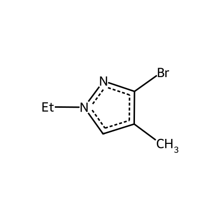 CCn1cc(C)c(Br)n1